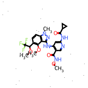 CONC(=O)c1cnc(NC(=O)C2CC2)cc1Nc1nn(C)c2ccc(C(OC)C(F)(F)F)c(OC)c12